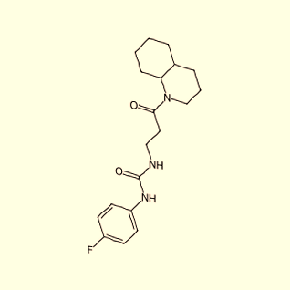 O=C(NCCC(=O)N1CCCC2CCCCC21)Nc1ccc(F)cc1